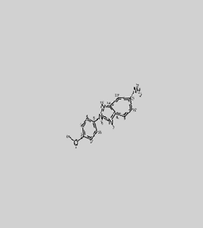 COc1ccc(-n2nc3ccc(N)cc3n2)cc1